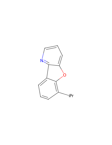 CC(C)c1cccc2c1oc1cccnc12